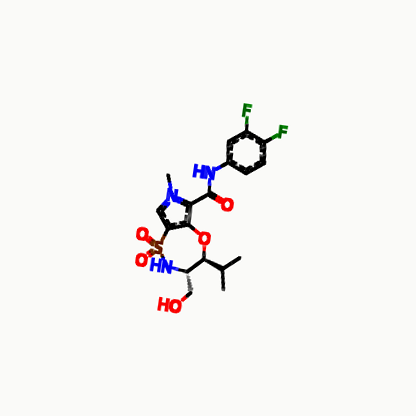 CC(C)[C@@H]1Oc2c(cn(C)c2C(=O)Nc2ccc(F)c(F)c2)S(=O)(=O)N[C@H]1CO